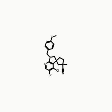 COc1ccc(CN2CC3(CCC(C)(C#N)C3)c3c2ncc(Br)c3Cl)cc1